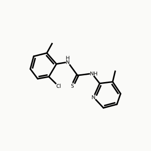 Cc1cccnc1NC(=S)Nc1c(C)cccc1Cl